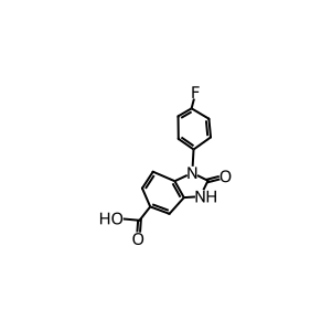 O=C(O)c1ccc2c(c1)[nH]c(=O)n2-c1ccc(F)cc1